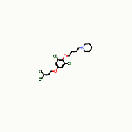 ClC(Cl)=CCOc1cc(Cl)c(OCCCCN2CCCCC2)c(Cl)c1